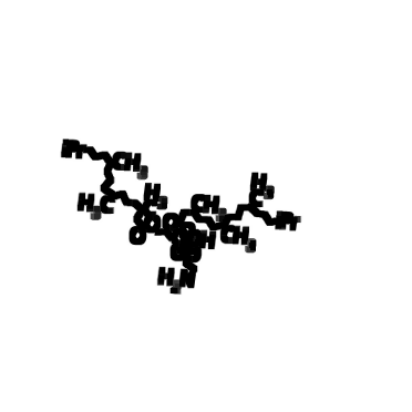 CC(C)CCCC(C)CCCC(C)CCCC(C)CC(=O)OCC(COP(=O)(O)OCCN)OC(=O)CC(C)CCCC(C)CCCC(C)CCCC(C)C